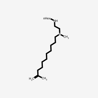 C=C(C)CCCCCCCCCP(C)CCNCCCCCC